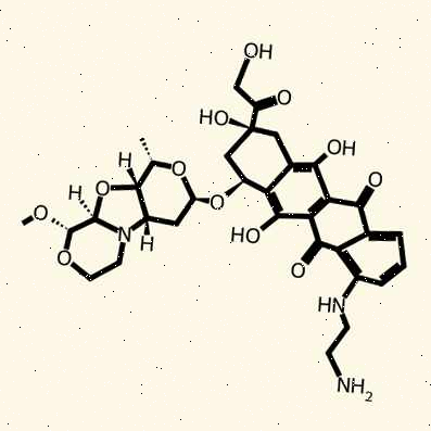 CO[C@H]1OCCN2[C@@H]1O[C@@H]1[C@H](C)O[C@@H](O[C@H]3C[C@](O)(C(=O)CO)Cc4c(O)c5c(c(O)c43)C(=O)c3c(NCCN)cccc3C5=O)C[C@@H]12